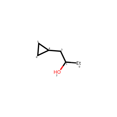 CCC(O)CC1CC1